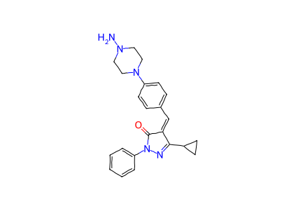 NN1CCN(c2ccc(/C=C3\C(=O)N(c4ccccc4)N=C3C3CC3)cc2)CC1